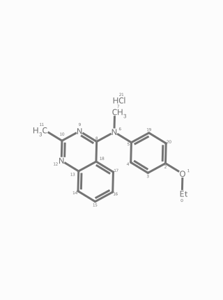 CCOc1ccc(N(C)c2nc(C)nc3ccccc23)cc1.Cl